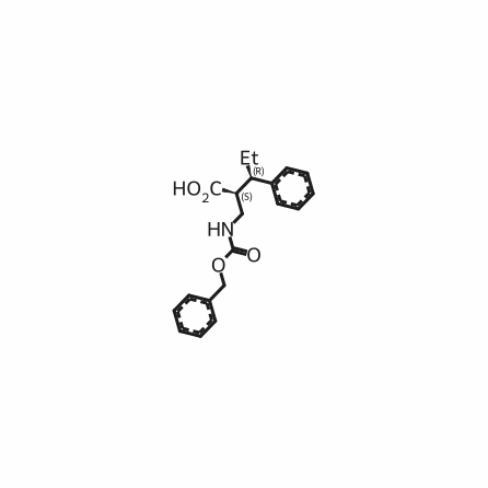 CC[C@@H](c1ccccc1)[C@@H](CNC(=O)OCc1ccccc1)C(=O)O